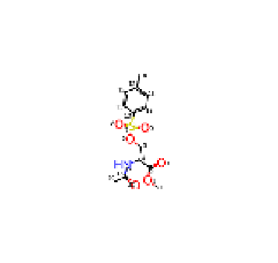 COC(=O)[C@H](COS(=O)(=O)c1ccc(C)cc1)NC(C)=O